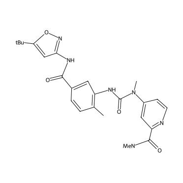 CNC(=O)c1cc(N(C)C(=O)Nc2cc(C(=O)Nc3cc(C(C)(C)C)on3)ccc2C)ccn1